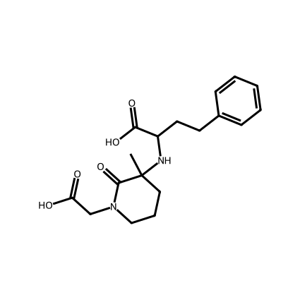 CC1(NC(CCc2ccccc2)C(=O)O)CCCN(CC(=O)O)C1=O